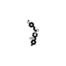 COc1ccc(C=CC(=O)N2CCC(O)(Cc3ccc(C)cc3)CC2)cc1